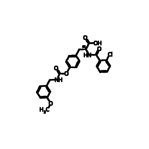 COc1cccc(CNC(=O)Oc2ccc(C[C@H](NC(=O)c3ccccc3Cl)C(=O)O)cc2)c1